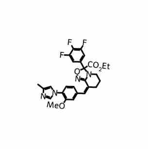 CCOC(=O)C1(c2cc(F)c(F)c(F)c2)ON=C2/C(=C\c3ccc(-n4cnc(C)c4)c(OC)c3)CCCN21